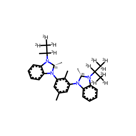 [2H]C([2H])([2H])C([2H])(C)N1c2ccccc2N(c2cc(C)cc(N3c4ccccc4N(C([2H])(C([2H])([2H])[2H])C([2H])([2H])[2H])[C@H]3C)c2C)[C@H]1C